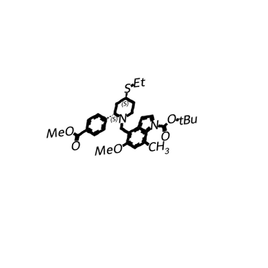 CCS[C@H]1CCN(Cc2c(OC)cc(C)c3c2ccn3C(=O)OC(C)(C)C)[C@H](c2ccc(C(=O)OC)cc2)C1